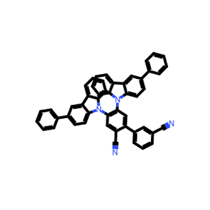 N#Cc1cccc(-c2cc(-n3c4ccccc4c4cc(-c5ccccc5)ccc43)c(-n3c4ccccc4c4cc(-c5ccccc5)ccc43)cc2C#N)c1